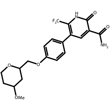 COC1CCOC(COc2ccc(-c3cc(C(N)=O)c(=O)[nH]c3C(F)(F)F)cc2)C1